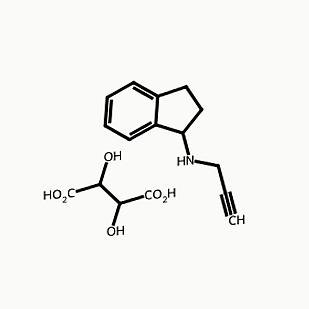 C#CCNC1CCc2ccccc21.O=C(O)C(O)C(O)C(=O)O